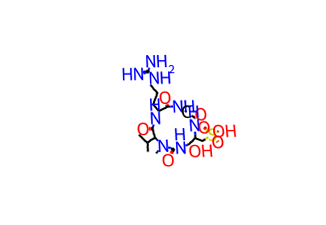 CC(C)C1C(=O)NC(CCCNC(=N)N)C(=O)NCC(=O)NC(CS(=O)(=O)O)C(O)NC(=O)N1C